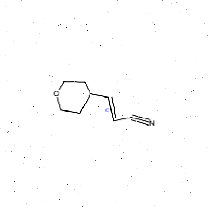 N#C/C=C/C1CCOCC1